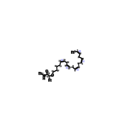 CC/C=C\C/C=C\C/C=C\C/C=C\C/C=C\CCCCOC(CC)C(=O)NCC